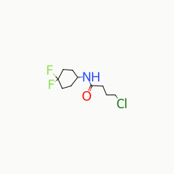 O=C(CCCCl)NC1CCC(F)(F)CC1